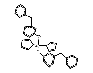 C1=C[CH]([Zr]([O]c2cccc(Cc3ccccc3)c2)([O]c2cccc(Cc3ccccc3)c2)[CH]2C=CC=C2)C=C1